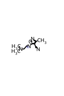 Cc1noc(/N=C/CN(C)C)c1C#N